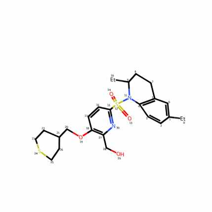 CCc1ccc2c(c1)CCC(CC)N2S(=O)(=O)c1ccc(OCC2CCSCC2)c(CO)n1